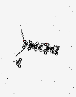 C=CCOP(O)OCC=C.CCCCCCCCCc1ccc(OP(O)Oc2ccc(CCCCCCCCC)cc2)cc1.COP(O)OCC(F)(F)C(F)F.Cc1ccc(OP(O)Oc2ccc(C)cc2)cc1.OP(OC1C=CCCC1)OC1C=CCCC1.OP(OC1CCCCC1)OC1CCCCC1.OP(Oc1cccc2ccccc12)Oc1cccc2ccccc12.OP(Oc1ccccc1)Oc1ccccc1